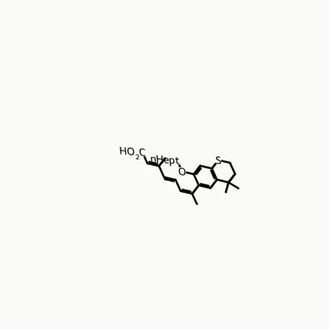 CCCCCCCOc1cc2c(cc1\C(C)=C/C=C/C(C)=C/C(=O)O)C(C)(C)CCS2